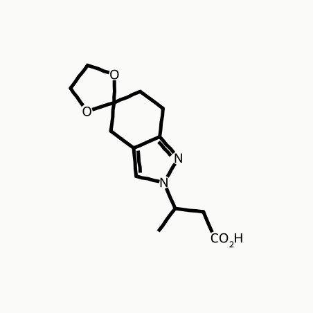 CC(CC(=O)O)n1cc2c(n1)CCC1(C2)OCCO1